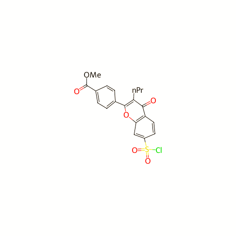 CCCc1c(-c2ccc(C(=O)OC)cc2)oc2cc(S(=O)(=O)Cl)ccc2c1=O